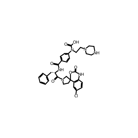 O=C1Nc2ccc(Cl)cc2C2(CCN(C(=O)[C@H](Cc3ccccc3)NC(=O)c3ccc(N(CCN4CCNCC4)C(=O)O)cc3)C2)O1